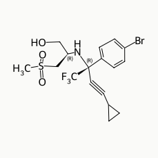 CS(=O)(=O)C[C@@H](CO)N[C@@](C#CC1CC1)(c1ccc(Br)cc1)C(F)(F)F